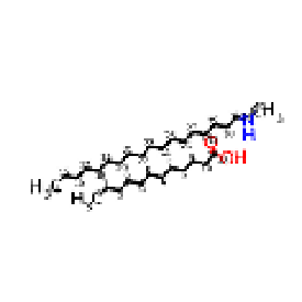 CCCCCCCCCCCC(=O)O.CCCCCCCCCCCCCCCCCCNC